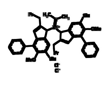 COc1c(C(C)(C)C)cc2c(c1-c1ccccc1)C=C(CC(C)C)[CH]2[Zr+2]([CH]1C(CC(C)C)=Cc2c1cc(C(C)(C)C)c(OC)c2-c1ccccc1)=[Si](C)C.[Cl-].[Cl-]